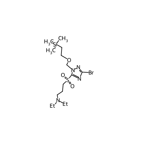 CCN(CC)CCCS(=O)(=O)c1nc(Br)nn1COCC[Si](C)(C)C